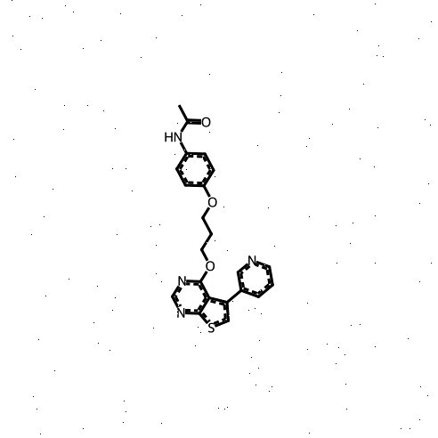 CC(=O)Nc1ccc(OCCCOc2ncnc3scc(-c4cccnc4)c23)cc1